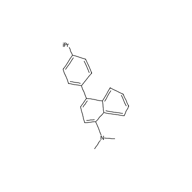 CC(C)c1ccc(-c2ccc(N(C)C)c3ccccc23)cc1